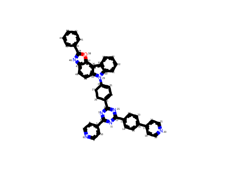 C1=C(c2nc(-c3ccncc3)nc(-c3ccc(-c4ccncc4)cc3)n2)CCC(n2c3ccccc3c3c4oc(-c5ccccc5)nc4ccc32)=C1